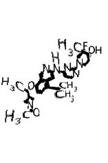 CC(=O)N1CC(C(C)Oc2ccc(C(C)C)c3cc(Nc4ccnc(N5CC[C@@H](O)[C@@](C)(F)C5)n4)ncc23)C1